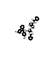 COc1ccc(C(OC[C@H]2O[C@@H](n3cnc4c(NC(=O)c5ccccc5)ncnc43)[C@@H](F)[C@@H]2OC(=O)c2ccccc2)(c2ccccc2)c2ccc(OC)cc2)cc1